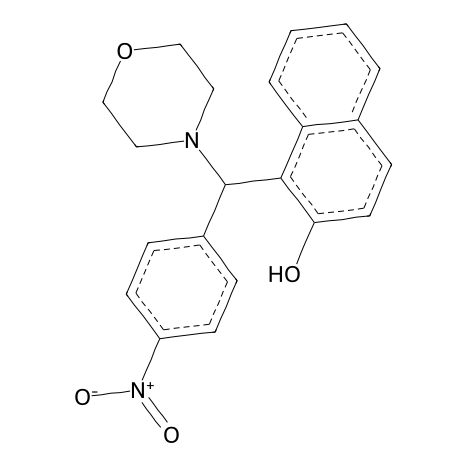 O=[N+]([O-])c1ccc(C(c2c(O)ccc3ccccc23)N2CCOCC2)cc1